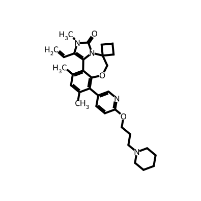 C=Cc1c2n(c(=O)n1C)C1(CCC1)COc1c(-c3ccc(OCCCN4CCCCC4)nc3)c(C)cc(C)c1-2